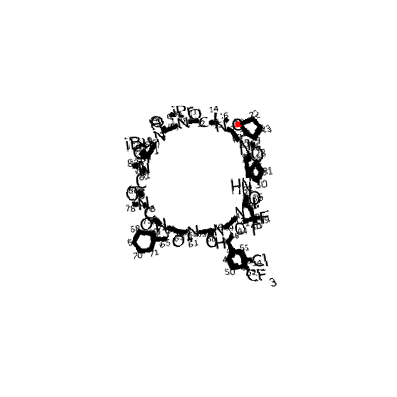 CC[C@H](C)[C@@H]1NC(=O)[C@H](CC(C)C)N(C)C(=O)C[C@@H](C)N(C)C(=O)[C@H](C2CCCC2)N(C)C(=O)C2(CCC2)NC(=O)[C@@H]2CC(F)(F)CN2C(=O)[C@H](CCc2ccc(C(F)(F)F)c(Cl)c2)NC(=O)CN(C)C(=O)[C@H](CC2CCCCC2)N(C)C(=O)CN(C)C(=O)CN(C)C1=O